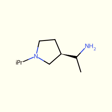 CC(N)[C@@H]1CCN(C(C)C)C1